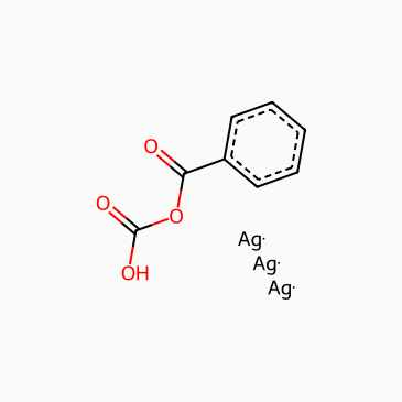 O=C(O)OC(=O)c1ccccc1.[Ag].[Ag].[Ag]